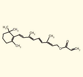 C=CC(=O)OC/C=C(C)/C=C/C=C(C)/C=C/C1=C(C)CCCC1(C)C